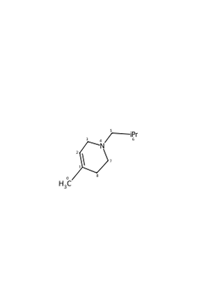 CC1=CCN(CC(C)C)CC1